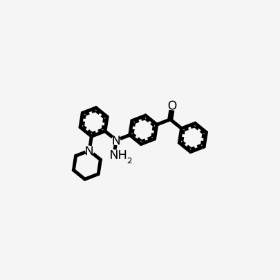 NN(c1ccc(C(=O)c2ccccc2)cc1)c1ccccc1N1CCCCC1